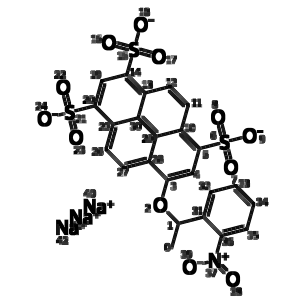 CC(Oc1cc(S(=O)(=O)[O-])c2ccc3c(S(=O)(=O)[O-])cc(S(=O)(=O)[O-])c4ccc1c2c43)c1ccccc1[N+](=O)[O-].[Na+].[Na+].[Na+]